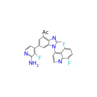 CC(=O)c1cc(-c2ccnc(N)c2F)cc2c1nc(C)n2-c1ccnc2c(F)ccc(F)c12